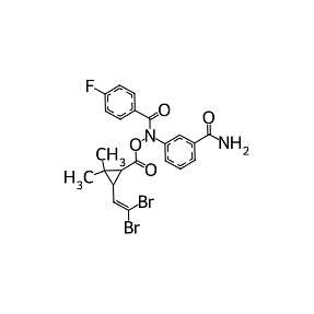 CC1(C)C(C=C(Br)Br)C1C(=O)ON(C(=O)c1ccc(F)cc1)c1cccc(C(N)=O)c1